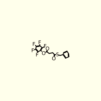 O=C(CCC(=O)SCc1ccccc1)Oc1c(F)c(F)c(F)c(F)c1F